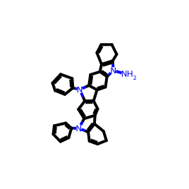 Nn1c2c(c3cc4c(cc31)c1cc3c5c(n(-c6ccccc6)c3cc1n4-c1ccccc1)C=CCC5)C=CCC2